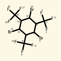 FC(F)(F)C1C(Br)C(C(F)(F)F)C(Br)C(C(F)(F)F)C1Br